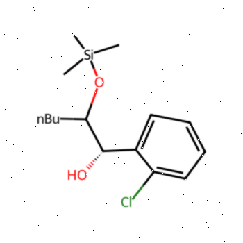 CCCCC(O[Si](C)(C)C)[C@@H](O)c1ccccc1Cl